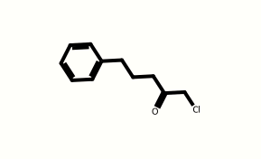 O=C(CCl)CCCc1ccccc1